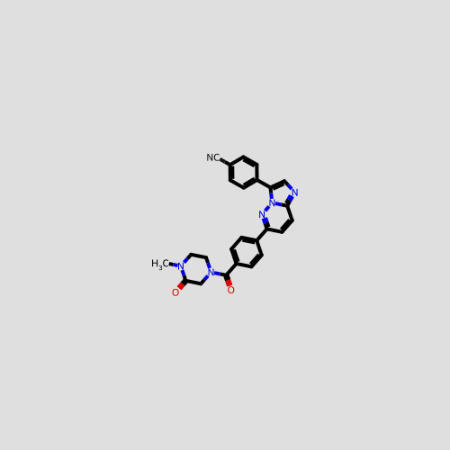 CN1CCN(C(=O)c2ccc(-c3ccc4ncc(-c5ccc(C#N)cc5)n4n3)cc2)CC1=O